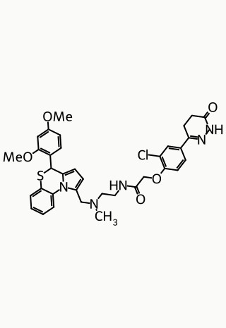 COc1ccc(C2Sc3ccccc3-n3c(CN(C)CCNC(=O)COc4ccc(C5=NNC(=O)CC5)cc4Cl)ccc32)c(OC)c1